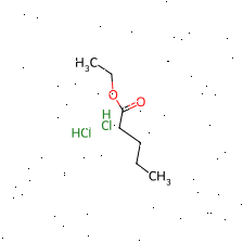 CCCCC(=O)OCC.Cl.Cl